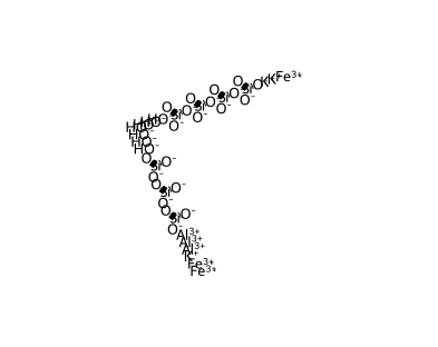 O=[Si]([O-])[O-].O=[Si]([O-])[O-].O=[Si]([O-])[O-].O=[Si]([O-])[O-].O=[Si]([O-])[O-].O=[Si]([O-])[O-].O=[Si]([O-])[O-].[Al+3].[Al+3].[Al+3].[Fe+3].[Fe+3].[Fe+3].[K+].[K+].[K+].[OH-].[OH-].[OH-].[OH-].[OH-].[OH-].[OH-]